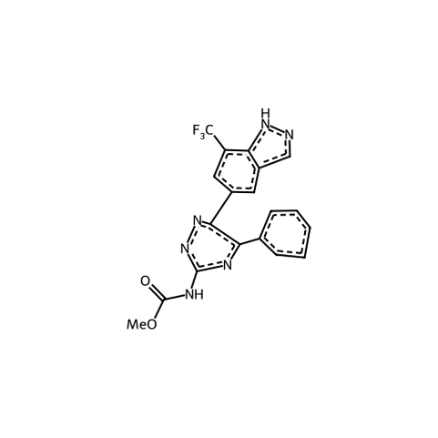 COC(=O)Nc1nnc(-c2cc(C(F)(F)F)c3[nH]ncc3c2)c(-c2ccccc2)n1